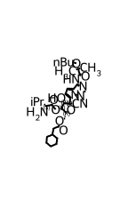 CCCCOC(C)(C)C(=O)Nc1ncnn2c([C@]3(C#N)O[C@H](COC(=O)CC4CCCCC4)[C@@H](OC(=O)[C@@H](N)C(C)C)[C@H]3O)ccc12